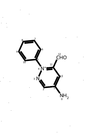 Nc1cn[n+](-c2ccccc2)c(C=O)c1